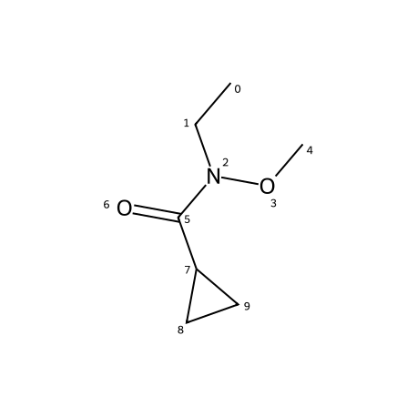 CCN(OC)C(=O)C1CC1